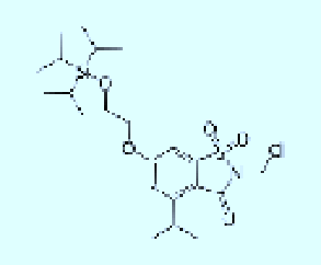 CC(C)c1cc(OCCO[Si](C(C)C)(C(C)C)C(C)C)cc2c1C(=O)N(CCl)S2(=O)=O